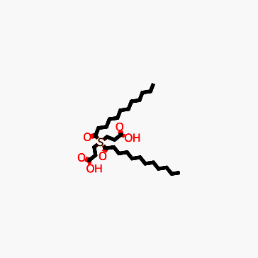 CCCCCCCCCCCC(=O)S(CCC(=O)O)(CCC(=O)O)C(=O)CCCCCCCCCCC